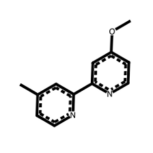 COc1ccnc(-c2cc(C)ccn2)c1